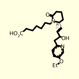 CCOc1ccc(CC(O)/C=C/[C@H]2CCCC(=O)N2CCCCCCC(=O)O)nc1